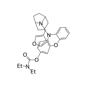 CCN(CC)C(=O)Oc1ccc2c(c1)Oc1ccccc1N2C1CC2CCC(C1)N2Cc1ccoc1